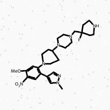 COc1cc(N2CCC(N3CCN(CC4(F)CCNCC4)CC3)CC2)c(-c2cnn(C)c2)cc1[N+](=O)[O-]